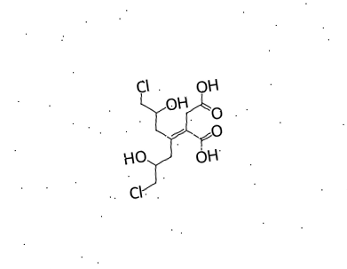 O=C(O)CC(C(=O)O)=C(CC(O)CCl)CC(O)CCl